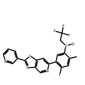 Cc1cc(F)c(-c2cc3sc(-c4cccnc4)nc3cn2)cc1[S+]([O-])CC(F)(F)F